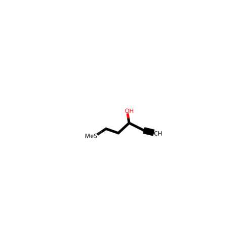 C#CC(O)CCSC